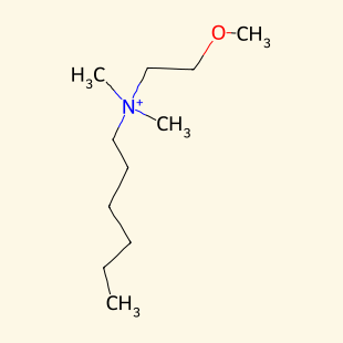 CCCCCC[N+](C)(C)CCOC